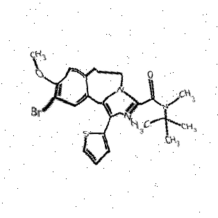 COc1cc2c(cc1Br)-c1c(-c3cccs3)nc(C(=O)N(C)C(C)(C)C)n1CC2